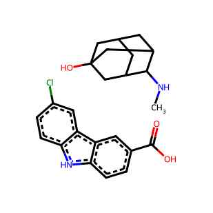 CNC1C2CC3CC1CC(O)(C3)C2.O=C(O)c1ccc2[nH]c3ccc(Cl)cc3c2c1